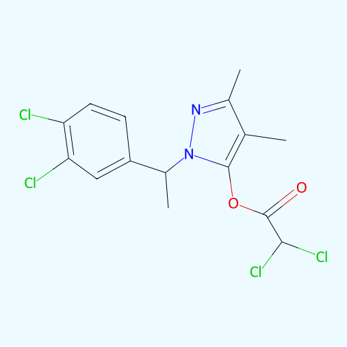 Cc1nn(C(C)c2ccc(Cl)c(Cl)c2)c(OC(=O)C(Cl)Cl)c1C